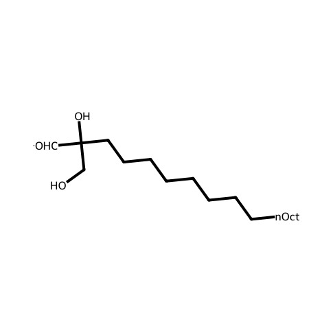 CCCCCCCCCCCCCCCCC(O)([C]=O)CO